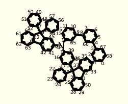 c1ccc(-c2cccc(-c3cccc(N(c4ccc(C5(c6ccccc6)c6ccccc6-c6ccccc65)cc4)c4ccc5c(c4)C(c4ccccc4)(c4ccccc4)c4ccccc4-5)c3)c2)cc1